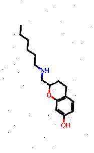 CCCCCCNCC1CCc2ccc(O)cc2O1